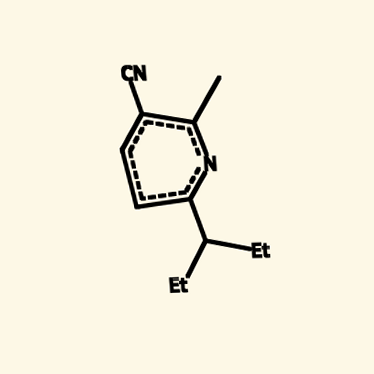 CCC(CC)c1ccc(C#N)c(C)n1